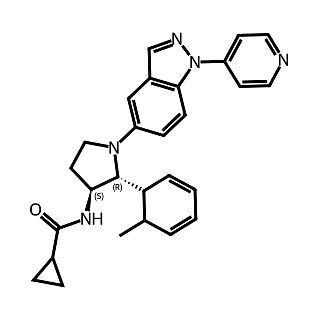 CC1C=CC=CC1[C@@H]1[C@@H](NC(=O)C2CC2)CCN1c1ccc2c(cnn2-c2ccncc2)c1